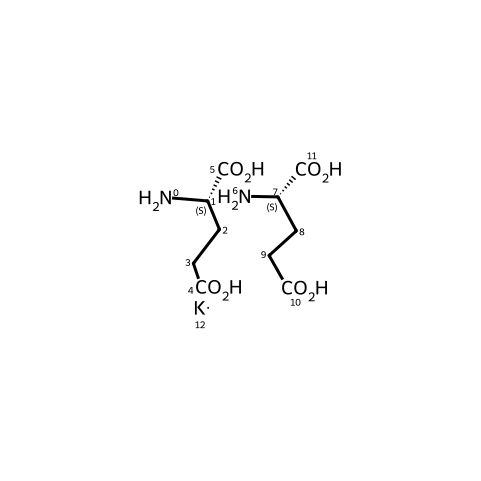 N[C@@H](CCC(=O)O)C(=O)O.N[C@@H](CCC(=O)O)C(=O)O.[K]